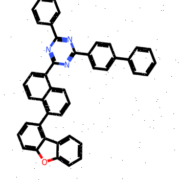 c1ccc(-c2ccc(-c3nc(-c4ccccc4)nc(-c4cccc5c(-c6cccc7oc8ccccc8c67)cccc45)n3)cc2)cc1